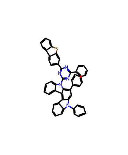 c1ccc(-c2nc(-c3ccc4c(c3)sc3ccccc34)nc(-n3c4ccccc4c4c5c6ccccc6n(-c6ccccc6)c5cc(-c5ccccc5)c43)n2)cc1